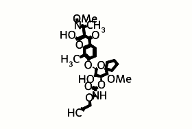 C#CCONC(=O)O[C@H]1[C@@H](O)[C@H](Oc2ccc3c(=O)c(/C(C)=N/OC)c(O)oc3c2C)OC2(CCCC2)[C@@H]1OC